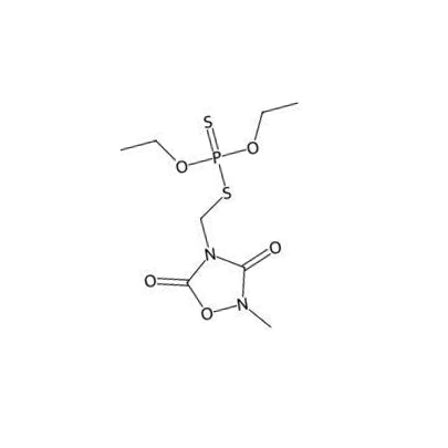 CCOP(=S)(OCC)SCn1c(=O)on(C)c1=O